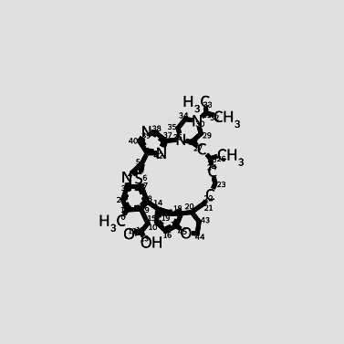 Cc1cc2nc3sc2c(c1CC(=O)O)-c1ccc2c(c1)C(CCCCC(C)CC1CN(C(C)C)CCN1c1cncc-3n1)CCO2